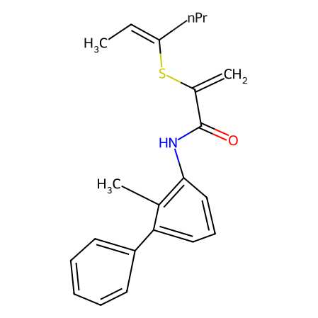 C=C(S/C(=C\C)CCC)C(=O)Nc1cccc(-c2ccccc2)c1C